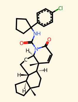 C[C@@]12CCC[C@H]1[C@@H]1CC[C@H]3N(C(=O)NC4(c5ccc(Cl)cc5)CCCC4)C(=O)C=C[C@]3(C)[C@H]1CC2